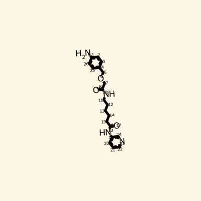 Nc1ccc(COCC(=O)NCCCCCC(=O)Nc2cccnc2)cc1